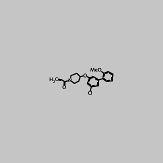 C=CC(=O)N1CCC(Oc2cc(Cl)cc(-c3ccccc3OC)c2)CC1